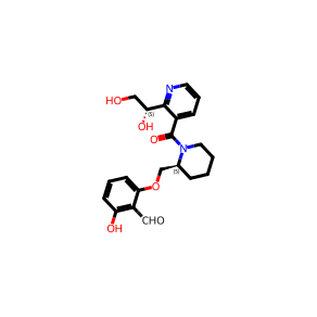 O=Cc1c(O)cccc1OC[C@@H]1CCCCN1C(=O)c1cccnc1[C@H](O)CO